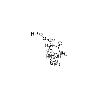 NC(N)=O.OO.OOOO.[BaH2].[NaH]